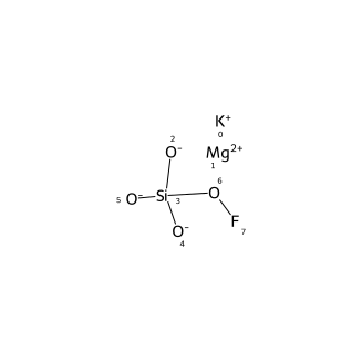 [K+].[Mg+2].[O-][Si]([O-])([O-])OF